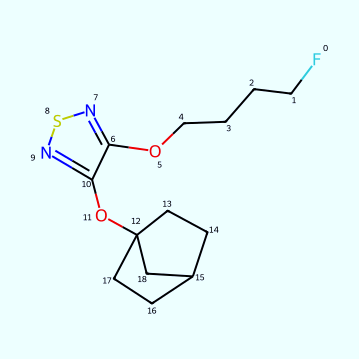 FCCCCOc1nsnc1OC12CCC(CC1)C2